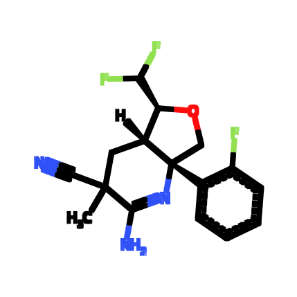 CC1(C#N)C[C@@H]2[C@@H](C(F)F)OC[C@]2(c2ccccc2F)N=C1N